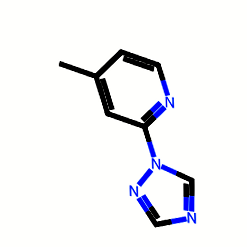 Cc1ccnc(-n2cncn2)c1